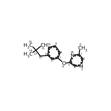 Cc1cncc(Oc2cccc(CC(C)(C)C)c2)n1